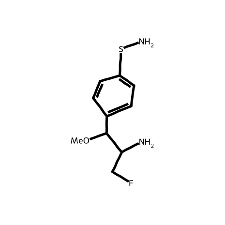 COC(c1ccc(SN)cc1)C(N)CF